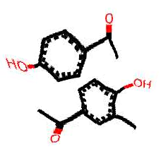 CC(=O)c1ccc(O)c(C)c1.CC(=O)c1ccc(O)cc1